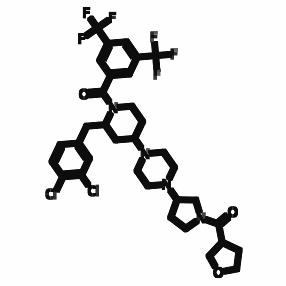 O=C(C1CCOC1)N1CCC(N2CCN(C3CCN(C(=O)c4cc(C(F)(F)F)cc(C(F)(F)F)c4)C(Cc4ccc(Cl)c(Cl)c4)C3)CC2)C1